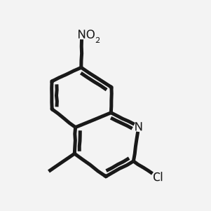 Cc1cc(Cl)nc2cc([N+](=O)[O-])ccc12